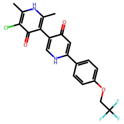 Cc1[nH]c(C)c(-c2c[nH]c(-c3ccc(OCC(F)(F)F)cc3)cc2=O)c(=O)c1Cl